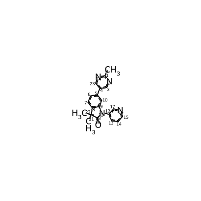 Cc1ncc(-c2ccc3c(c2)N(c2cccnc2)C(=O)C3(C)C)cn1